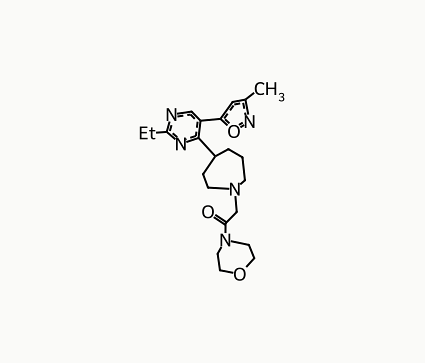 CCc1ncc(-c2cc(C)no2)c(C2CCCN(CC(=O)N3CCOCC3)CC2)n1